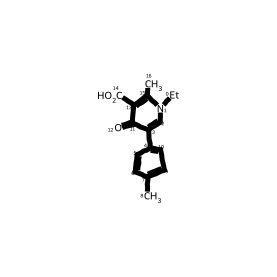 CCn1cc(-c2ccc(C)cc2)c(=O)c(C(=O)O)c1C